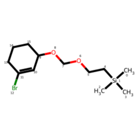 C[Si](C)(C)CCOCOC1C=C(Br)CCC1